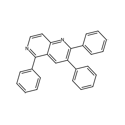 [c]1ccc(-c2nc3ccnc(-c4cc[c]cc4)c3cc2-c2ccccc2)cc1